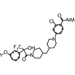 CNC(=O)c1ccc(N2CCC(CC3CCN(C(=O)C(O)(c4cccc(OC(C)C)c4)C(F)(F)F)CC3)CC2)cc1Cl